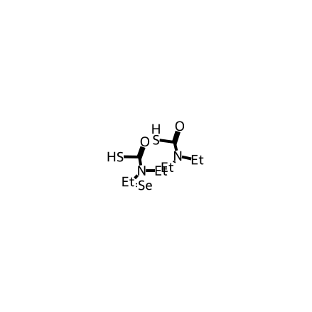 CCN(CC)C(=O)S.CCN(CC)C(=O)S.[Se]